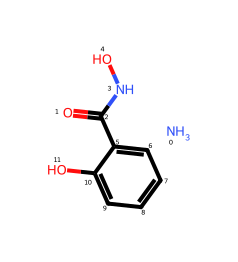 N.O=C(NO)c1ccccc1O